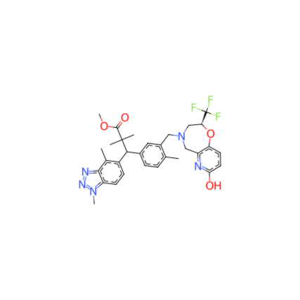 COC(=O)C(C)(C)C(c1ccc(C)c(CN2Cc3nc(O)ccc3O[C@H](C(F)(F)F)C2)c1)c1ccc2c(nnn2C)c1C